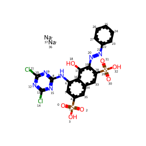 O=S(=O)(O)c1cc(Nc2nc(Cl)nc(Cl)n2)c2c(O)c(N=Nc3ccccc3)c(S(=O)(=O)O)cc2c1.[Na].[Na]